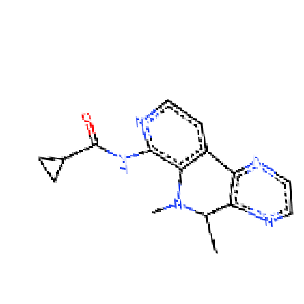 CC1c2nccnc2-c2ccnc(NC(=O)C3CC3)c2N1C